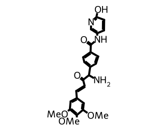 COc1cc(/C=C/C(=O)C(N)c2ccc(C(=O)Nc3ccc(O)nc3)cc2)cc(OC)c1OC